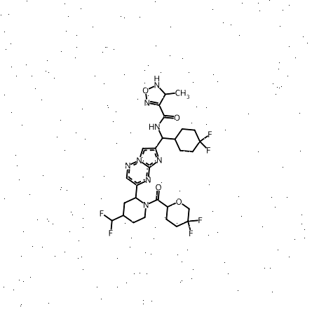 CC1NON=C1C(=O)NC(c1cn2ncc(C3CC(C(F)F)CCN3C(=O)C3CCC(F)(F)CO3)nc2n1)C1CCC(F)(F)CC1